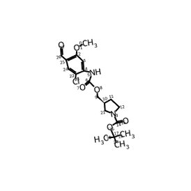 COc1cc(NC(=O)OC[C@H]2CCN(C(=O)OC(C)(C)C)C2)c(Cl)cc1C=O